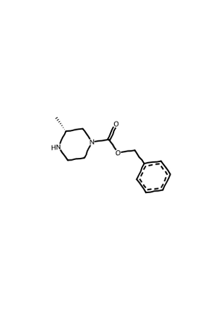 C[C@@H]1CN(C(=O)OCc2ccccc2)CCN1